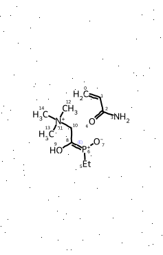 C=CC(N)=O.CC/[P+]([O-])=C(\O)C[N+](C)(C)C